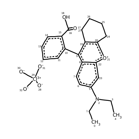 CCN(CC)c1ccc2c(-c3ccccc3C(=O)O)c3c([o+]c2c1)CCCC3.[O-][Cl+3]([O-])([O-])[O-]